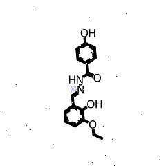 CCOc1cccc(/C=N/NC(=O)c2ccc(O)cc2)c1O